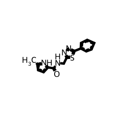 Cc1ccc(C(=O)NCc2nnc(-c3ccccc3)s2)[nH]1